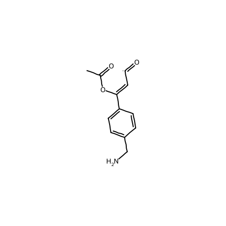 CC(=O)OC(=C[C]=O)c1ccc(CN)cc1